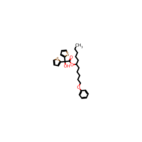 CCCCCC(CCCCCOc1ccccc1)OC(=O)C(O)(c1cccs1)c1cccs1